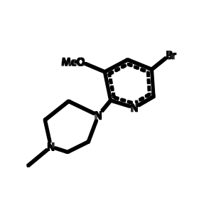 COc1cc(Br)cnc1N1CCN(C)CC1